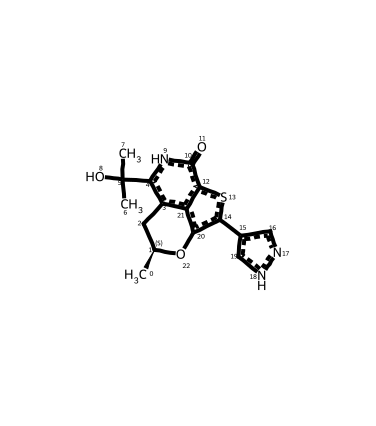 C[C@H]1Cc2c(C(C)(C)O)[nH]c(=O)c3sc(-c4cn[nH]c4)c(c23)O1